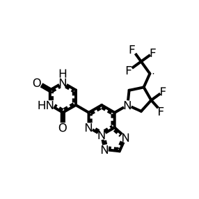 O=c1[nH]cc(-c2cc(N3CC([CH]C(F)(F)F)C(F)(F)C3)c3ncnn3n2)c(=O)[nH]1